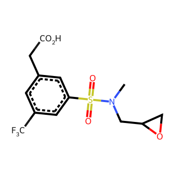 CN(CC1CO1)S(=O)(=O)c1cc(CC(=O)O)cc(C(F)(F)F)c1